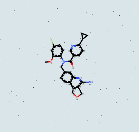 COc1cc(F)ccc1N(Cc1ccc2c3c(c(N)nc2c1)COC3)C(=O)c1ccc(C2CC2)nc1